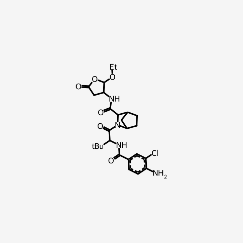 CCOC1OC(=O)CC1NC(=O)C1C2CCC(C2)N1C(=O)C(NC(=O)c1ccc(N)c(Cl)c1)C(C)(C)C